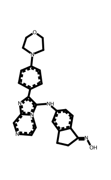 ON=C1CCc2cc(Nc3c(-c4ccc(N5CCOCC5)cc4)nc4cnccn34)ccc21